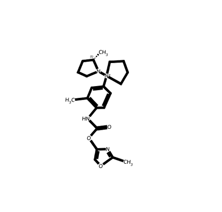 Cc1nc(OC(=O)Nc2ccc([N+]3(N4CCC[C@@H]4C)CCCC3)cc2C)co1